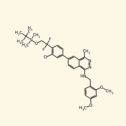 COc1ccc(CNc2nnc(C)c3cc(-c4ccc(C(F)(F)CO[Si](C)(C)C(C)(C)C)c(Cl)c4)ccc23)c(OC)c1